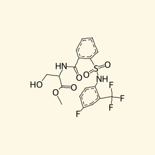 COC(=O)C(CO)NC(=O)c1ccccc1S(=O)(=O)Nc1ccc(F)cc1C(F)(F)F